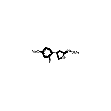 CO/N=C1/C[C@H](c2ccc(OC)cc2F)CN1